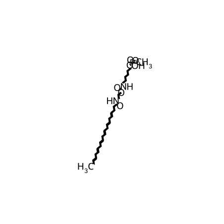 CC/C=C/C/C=C/C/C=C/C/C=C/C/C=C/C/C=C/CCC(=O)NCCOC(=O)NCCCCCCOP(=O)(O)OC